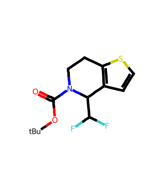 CC(C)(C)OC(=O)N1CCc2sccc2C1C(F)F